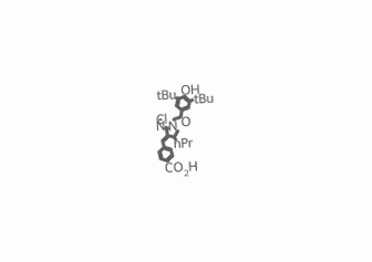 CCCC1CN(CC(=O)c2cc(C(C)(C)C)c(O)c(C(C)(C)C)c2)C(=N\Cl)/C1=C/c1ccc(C(=O)O)cc1